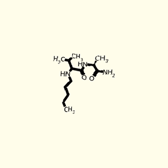 CCCCCNC(C(=O)N[C@@H](C)C(N)=O)C(C)C